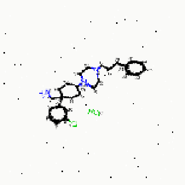 Cl.NCC1(c2cccc(Cl)c2)CCC(N2CCN(CCCc3ccccc3)CC2)CC1